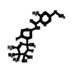 COc1cnc(C(=O)Nc2ccc(F)c([C@@]3(C)N=C(N)C(C)(C)S(O)(O)C3F)c2)c(C)c1